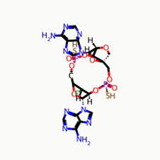 Nc1ncnc2c1ncn2[C@@H]1OC2CO[P@](=O)(S)O[C@H]3[C@H]4OC[C@]3(CO[P@@](=O)(S)O[C@@H]1[C@@H]2F)O[C@H]4n1cnc2c(N)ncnc21